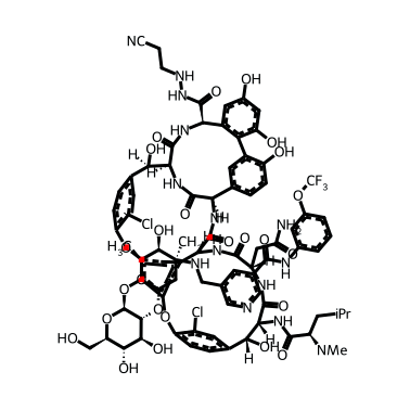 CN[C@H](CC(C)C)C(=O)N[C@H]1C(=O)N[C@@H](CC(N)=O)C(=O)N[C@H]2C(=O)N[C@H]3C(=O)N[C@H](C(=O)N[C@@H](C(=O)NNCCC#N)c4cc(O)cc(O)c4-c4cc3ccc4O)[C@H](O)c3ccc(c(Cl)c3)Oc3cc2cc(c3O[C@@H]2O[C@H](CO)[C@@H](O)[C@H](O)[C@H]2O[C@H]2C[C@](C)(NCc3cncc(C(=O)Nc4cccc(OC(F)(F)F)c4)c3)[C@H](O)[C@H](C)O2)Oc2ccc(cc2Cl)[C@H]1O